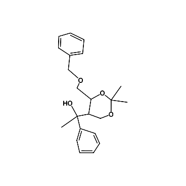 CC1(C)OCC(C(C)(O)c2ccccc2)C(COCc2ccccc2)O1